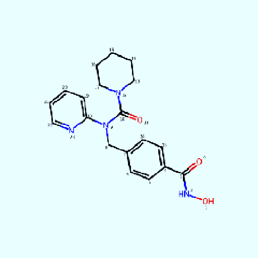 O=C(NO)c1ccc(CN(C(=O)N2CCCCC2)c2ccccn2)cc1